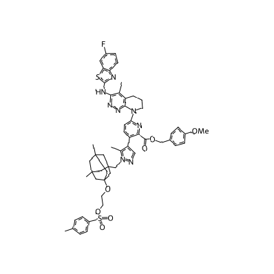 COc1ccc(COC(=O)c2nc(N3CCCc4c3nnc(Nc3nc5ccc(F)cc5s3)c4C)ccc2-c2cnn(CC34CC5(C)CC(C)(C3)CC(OCCOS(=O)(=O)c3ccc(C)cc3)(C5)C4)c2C)cc1